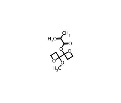 C=C(C)C(=O)OC1(C2(OC)CCO2)CCO1